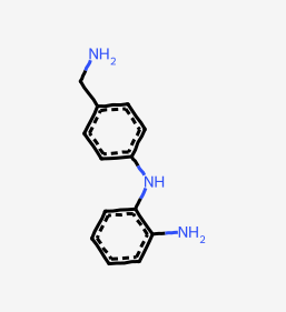 NCc1ccc(Nc2ccccc2N)cc1